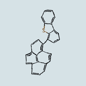 c1cc2ccc3ccc(-c4cccc5c4sc4ccccc45)c4ccc(c1)c2c34